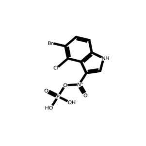 O=[N+](OP(=O)(O)O)c1c[nH]c2ccc(Br)c(Cl)c12